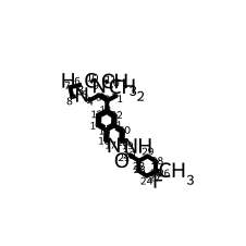 C=C/C(=C(/CN1CCC1)N(C)C)c1ccc2cnc(NC(=O)C3CCC(C)(F)CC3)cc2c1